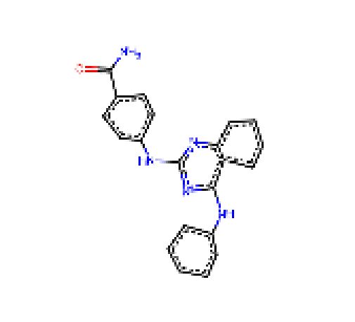 NC(=O)c1ccc(Nc2nc(Nc3ccccc3)c3ccccc3n2)cc1